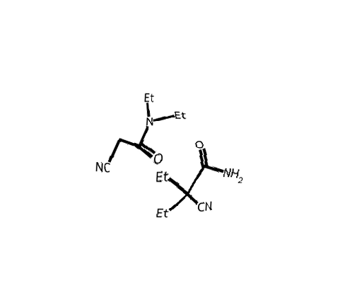 CCC(C#N)(CC)C(N)=O.CCN(CC)C(=O)CC#N